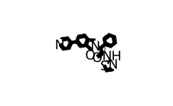 O=C(Nc1nccs1)[C@@H](c1ccccc1)N1Cc2ccc(-c3ccncc3)cc2C1=O